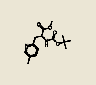 COC(=O)[C@H](Cc1ccc(C)cn1)NC(=O)OC(C)(C)C